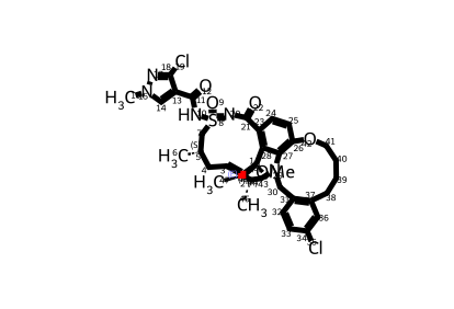 CO[C@@]12/C=C/C[C@H](C)CS(=O)(NC(=O)c3cn(C)nc3Cl)=NC(=O)c3ccc4c(c31)N(Cc1ccc(Cl)cc1CCCCO4)C[C@H](C)[C@H]2C